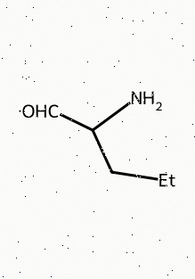 CCCC(N)[C]=O